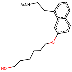 CC(=O)NCCc1cccc2ccc(OCCCCCCO)cc12